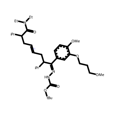 CCN(CC)C(=O)C(C/C=C/CC(C(=NNC(=O)OC(C)(C)C)c1ccc(OC)c(OCCCOC)c1)C(C)C)C(C)C